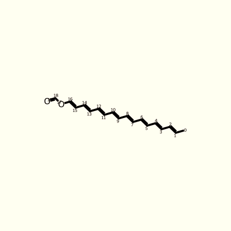 C/C=C/C=C/C=C/C=C/C=C/C=C/C=C/C=C/OC=O